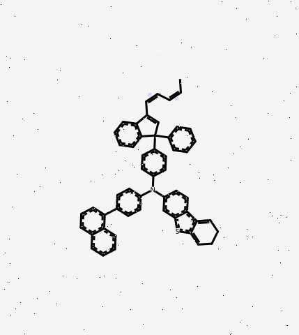 C/C=C\C=C/C1=CC(c2ccccc2)(c2ccc(N(c3ccc(-c4cccc5ccccc45)cc3)c3ccc4c5c(sc4c3)=CCCC=5)cc2)c2ccccc21